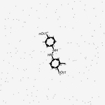 CCCCCCCCc1ccc(NNc2ccc(CCCCCCCC)c(C)c2)cc1